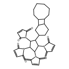 O=C1C=CC(=O)N1C1C(C2CCC3C4CCCCCCC4C3C2)C(N2C(=O)C=CC2=O)C(N2C(=O)C=CC2=O)C1N1C(=O)C=CC1=O